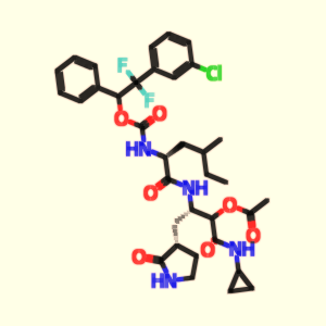 CCC(C)C[C@H](NC(=O)OC(c1ccccc1)C(F)(F)c1cccc(Cl)c1)C(=O)N[C@@H](C[C@@H]1CCNC1=O)C(OC(C)=O)C(=O)NC1CC1